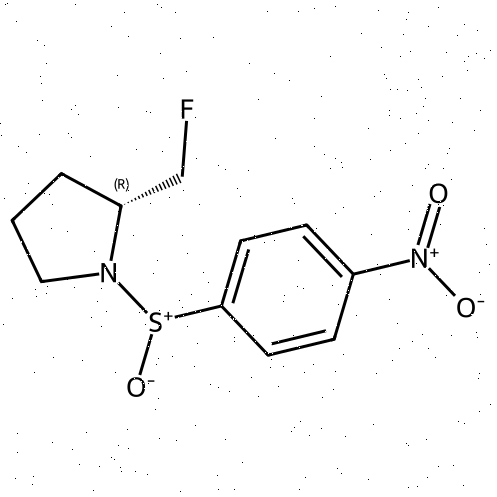 O=[N+]([O-])c1ccc([S+]([O-])N2CCC[C@@H]2CF)cc1